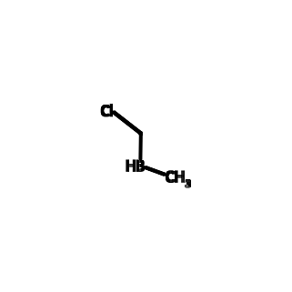 CBCCl